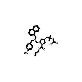 C=CCOC(=O)N1C[C@H](CC(C)(C)OC(=O)S)C[C@H]1CN(Cc1ccc(OC)cc1)Cc1cccc2ccccc12